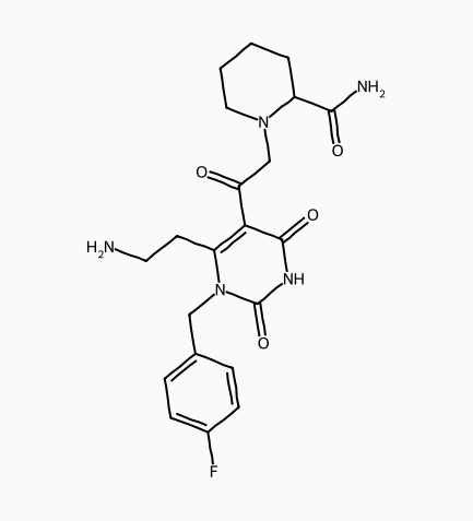 NCCc1c(C(=O)CN2CCCCC2C(N)=O)c(=O)[nH]c(=O)n1Cc1ccc(F)cc1